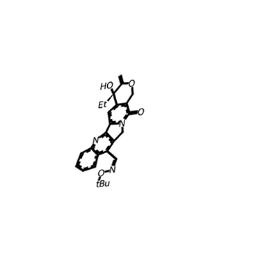 C=C1OCc2c(cc3n(c2=O)Cc2c-3nc3ccccc3c2/C=N\OC(C)(C)C)[C@@]1(O)CC